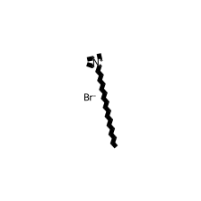 CCCCCCCCCCCCCCCCCCC[N+](CC)(CC)CC.[Br-]